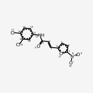 O=C(/C=C/c1ccc([N+](=O)[O-])o1)Nc1ccc(Cl)c(Cl)c1